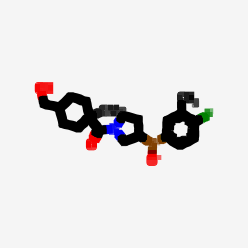 COC1(C(=O)N2CCC([S+]([O-])c3ccc(F)c(C)c3)C2)CCC(CO)CC1